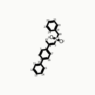 O=S(=O)(C=C(I)c1ccc(-c2ccccc2)cc1)Cc1ccccc1